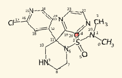 CN(C)S(=O)(=O)N1CCNCC1(c1ccnc(Cl)c1)c1cnccn1